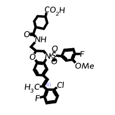 COc1cc(S(=O)(=O)N2CC(CNC(=O)C3CCC(C(=O)O)CC3)Oc3ccc(/C=C(\C)c4c(F)cccc4Cl)cc32)ccc1F